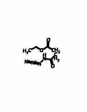 CC(=O)NN=[N+]=[N-].CCOC(C)=O